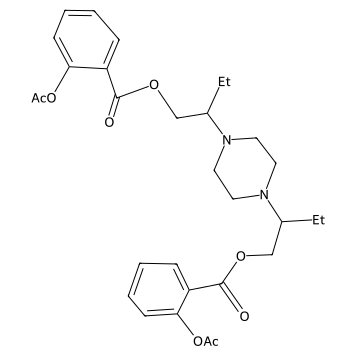 CCC(COC(=O)c1ccccc1OC(C)=O)N1CCN(C(CC)COC(=O)c2ccccc2OC(C)=O)CC1